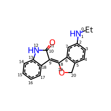 CCNc1ccc2c(c1)/C(=C1\C(=O)Nc3ccccc31)OC2